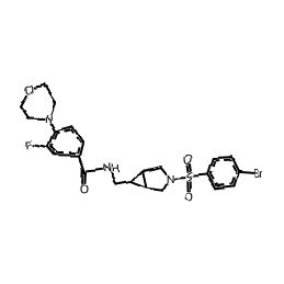 O=C(NCC1C2CN(S(=O)(=O)c3ccc(Br)cc3)CC12)c1ccc(N2CCOCC2)c(F)c1